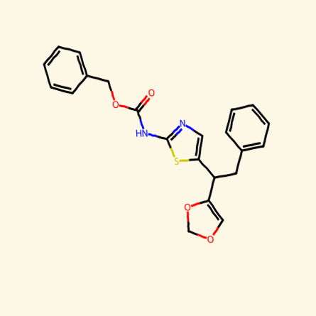 O=C(Nc1ncc(C(Cc2ccccc2)C2=COCO2)s1)OCc1ccccc1